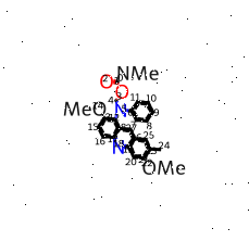 CNC(=O)OCN(c1ccccc1)c1c(OC)ccc2nc3cc(OC)c(C)cc3cc12